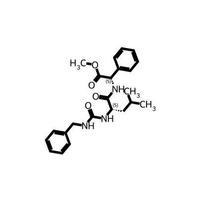 COC(=O)[C@@H](NC(=O)[C@H](CC(C)C)NC(=O)NCc1ccccc1)c1ccccc1